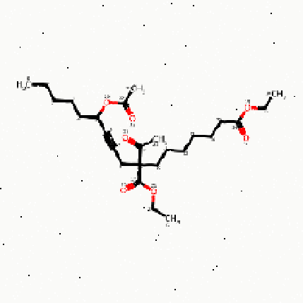 CCCCCC(C#CCC(CCCCCCC(=O)OCC)(C(C)=O)C(=O)OCC)OC(C)=O